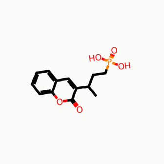 CC(CCP(=O)(O)O)c1cc2ccccc2oc1=O